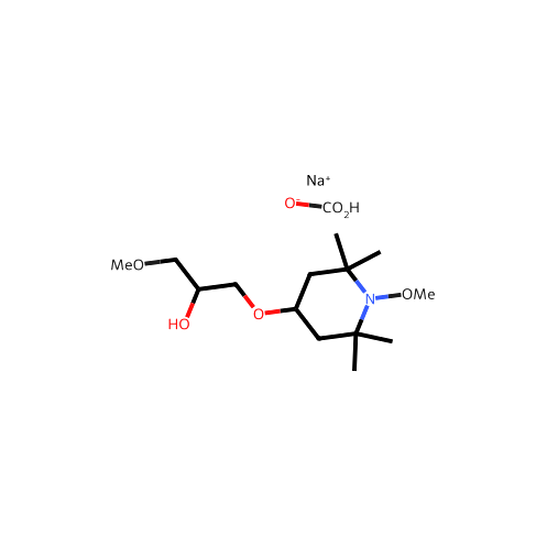 COCC(O)COC1CC(C)(C)N(OC)C(C)(C)C1.O=C([O-])O.[Na+]